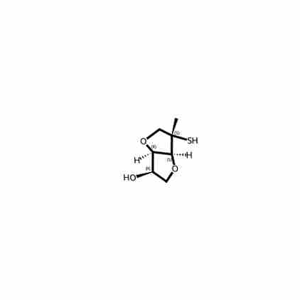 C[C@]1(S)CO[C@@H]2[C@H](O)CO[C@@H]21